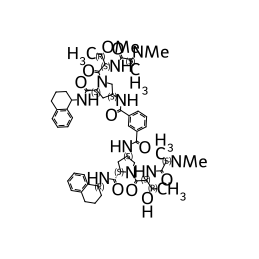 CN[C@@H](C)C(=O)N[C@H](C(=O)N1C[C@@H](NC(=O)c2cccc(C(=O)N[C@H]3C[C@@H](C(=O)NC4CCCc5ccccc54)N(C(=O)[C@@H](NC(=O)[C@H](C)NC)[C@@H](C)OC)C3)c2)C[C@H]1C(=O)N[C@@H]1CCCc2ccccc21)[C@@H](C)O